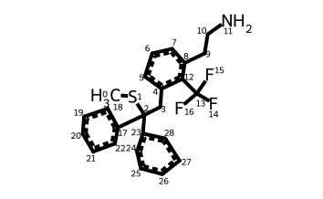 CSC(Cc1cccc(CCN)c1C(F)(F)F)(c1ccccc1)c1ccccc1